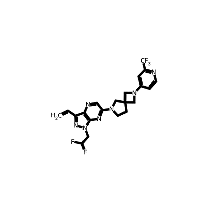 C=Cc1nn(CC(F)F)c2nc(N3CCC4(CN(c5ccnc(C(F)(F)F)c5)C4)C3)cnc12